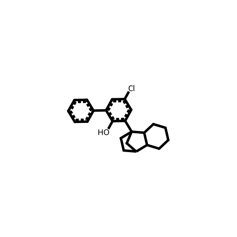 Oc1c(-c2ccccc2)cc(Cl)cc1C12CCC(C1)C1CCCCC12